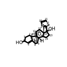 C[C@]12CCC(O)C=C1CC[C@@H]1[C@H]2CC[C@]2(C)C(O)(c3nccs3)CC[C@@]12O